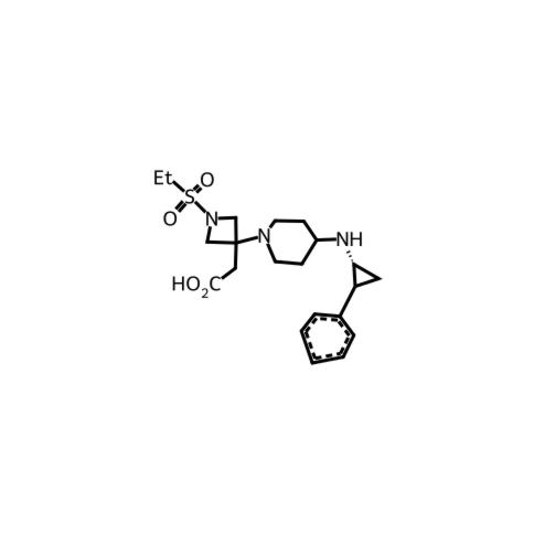 CCS(=O)(=O)N1CC(CC(=O)O)(N2CCC(N[C@@H]3CC3c3ccccc3)CC2)C1